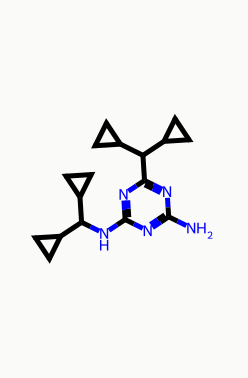 Nc1nc(NC(C2CC2)C2CC2)nc(C(C2CC2)C2CC2)n1